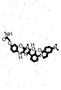 CNC(=O)COc1ccc(Nc2nc(-c3cccc(-n4ccc5cc(N(C)C)ccc5c4=O)c3CO)cn(C)c2=O)cc1